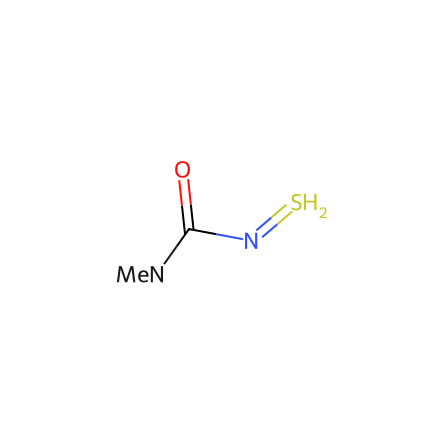 CNC(=O)N=[SH2]